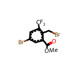 COC(=O)c1cc(Br)cc(C(F)(F)F)c1CBr